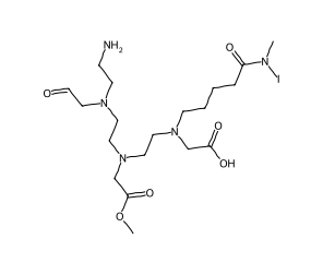 COC(=O)CN(CCN(CC=O)CCN)CCN(CCCCC(=O)N(C)I)CC(=O)O